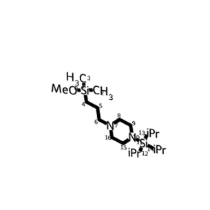 CO[Si](C)(C)CCCN1CCN([Si](C(C)C)(C(C)C)C(C)C)CC1